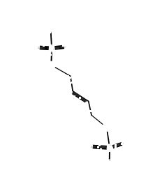 CS(=O)(=O)OCC=CCOS(C)(=O)=O